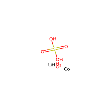 O.O=S(=O)(O)O.[Co].[LiH]